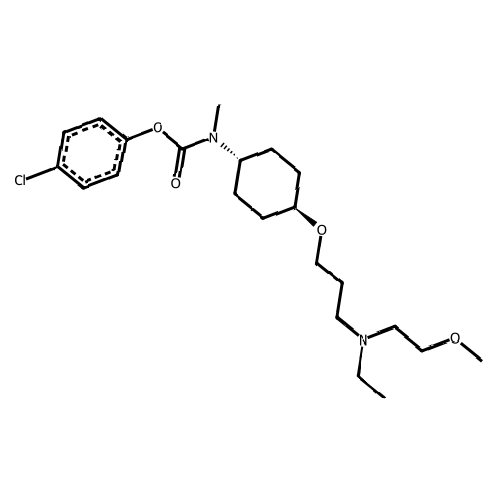 CCN(CCCO[C@H]1CC[C@H](N(C)C(=O)Oc2ccc(Cl)cc2)CC1)CCOC